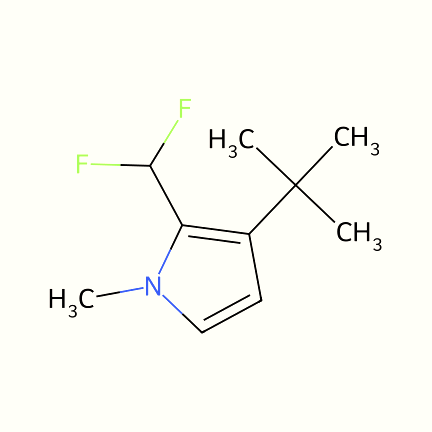 Cn1ccc(C(C)(C)C)c1C(F)F